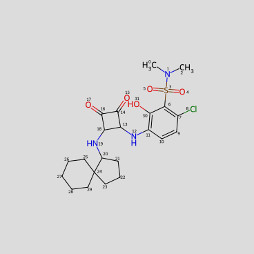 CN(C)S(=O)(=O)c1c(Cl)ccc(NC2C(=O)C(=O)C2NC2CCCC23CCCCC3)c1O